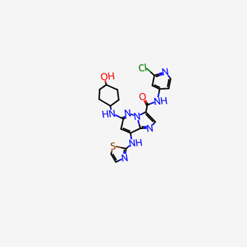 O=C(Nc1ccnc(Cl)c1)c1cnc2c(Nc3nccs3)cc(NC3CCC(O)CC3)nn12